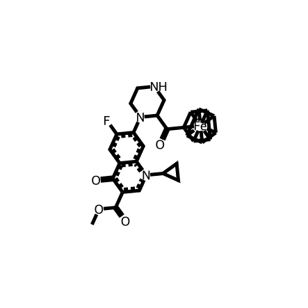 COC(=O)c1cn(C2CC2)c2cc(N3CCNCC3C(=O)[C]34[CH]5[CH]6[CH]7[CH]3[Fe]6754389%10[CH]4[CH]3[CH]8[CH]9[CH]4%10)c(F)cc2c1=O